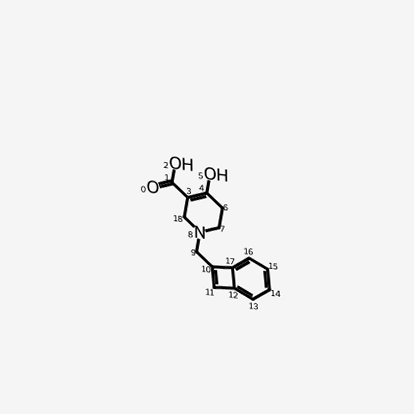 O=C(O)C1=C(O)CCN(CC2=Cc3ccccc32)C1